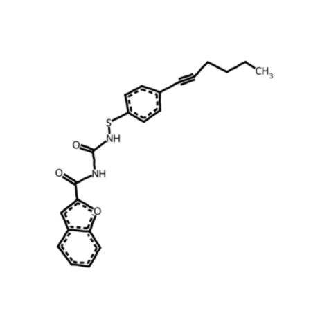 CCCCC#Cc1ccc(SNC(=O)NC(=O)c2cc3ccccc3o2)cc1